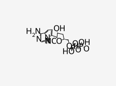 N#C[C@@]1(c2ccc3c(N)ncnn23)O[C@H](COP(=O)(O)O[PH](=O)O)C[C@H]1O